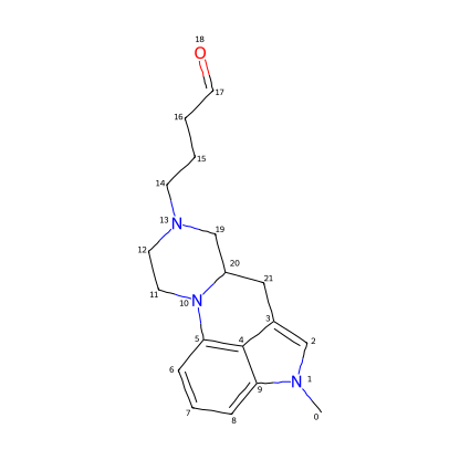 Cn1cc2c3c(cccc31)N1CCN(CCCC=O)CC1C2